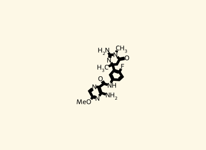 COc1cnc(C(=O)Nc2ccc(F)c(C3(C)CC(=O)N(C)C(N)=N3)c2)c(N)n1